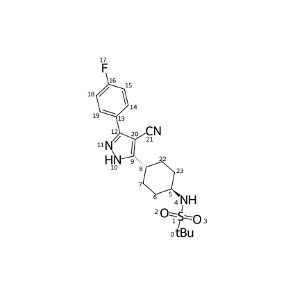 CC(C)(C)S(=O)(=O)N[C@H]1CC[C@H](c2[nH]nc(-c3ccc(F)cc3)c2C#N)CC1